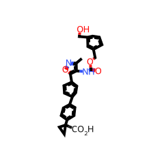 Cc1noc(-c2ccc(-c3ccc(C4(C(=O)O)CC4)cc3)cc2)c1NC(=O)OCc1cccc(CO)c1